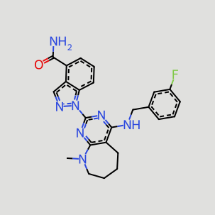 CN1CCCCc2c(NCc3cccc(F)c3)nc(-n3ncc4c(C(N)=O)cccc43)nc21